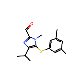 Cc1cc(C)cc(Sc2c(C(C)C)nc(C=O)n2C)c1